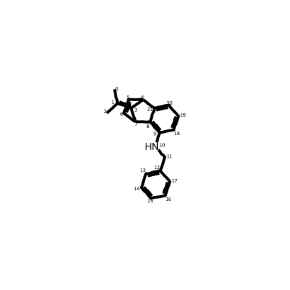 CC(C)=C1C2C=CC1c1c(NCc3ccccc3)cccc12